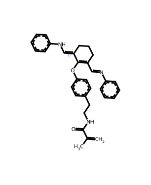 C=C(C)C(=O)NCCc1ccc(OC2=C(C=Nc3ccccc3)CCC/C2=C\Nc2ccccc2)cc1